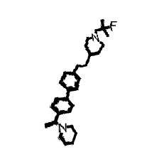 C=C(c1ccc(-c2ccc(CCC3CCN(CC(C)(C)F)CC3)cc2)cc1)N1CCCCC1